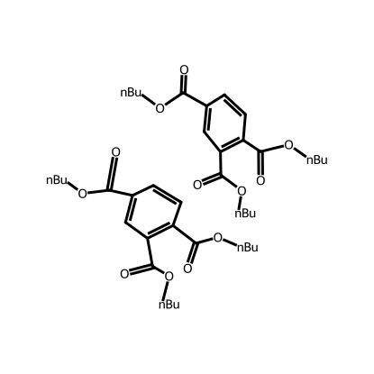 CCCCOC(=O)c1ccc(C(=O)OCCCC)c(C(=O)OCCCC)c1.CCCCOC(=O)c1ccc(C(=O)OCCCC)c(C(=O)OCCCC)c1